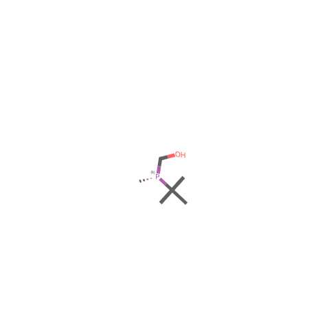 C[P@](CO)C(C)(C)C